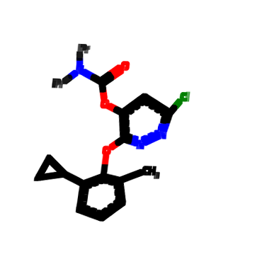 Cc1cccc(C2CC2)c1Oc1nnc(Cl)cc1OC(=O)N(C(C)C)C(C)C